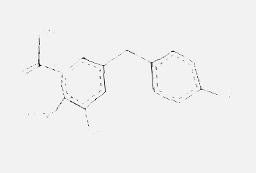 COC(=O)c1cc(Cc2ccc(OC)cc2)cc(N)c1[N+](=O)[O-]